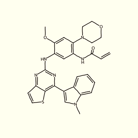 C=CC(=O)Nc1cc(Nc2nc(-c3cn(C)c4ccccc34)c3sccc3n2)c(OC)cc1N1CCOCC1